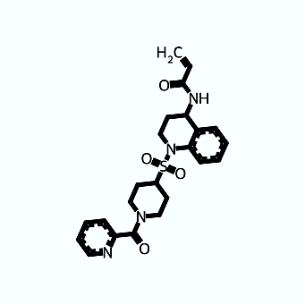 C=CC(=O)NC1CCN(S(=O)(=O)C2CCN(C(=O)c3ccccn3)CC2)c2ccccc21